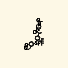 C=C(C(=O)N1CCN(C(C)=O)CC1)c1ccc(Sc2ccc3c(c2)CCOO3)c(C(F)(F)F)c1